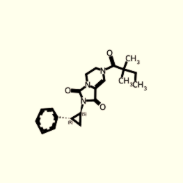 CCC(C)(C)C(=O)N1C=C2C(=O)N([C@H]3C[C@@H]3c3ccccc3)C(=O)N2CC1